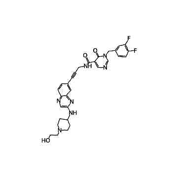 O=C(NCC#Cc1ccc2ncc(NC3CCN(CCO)CC3)nc2c1)c1cncn(Cc2ccc(F)c(F)c2)c1=O